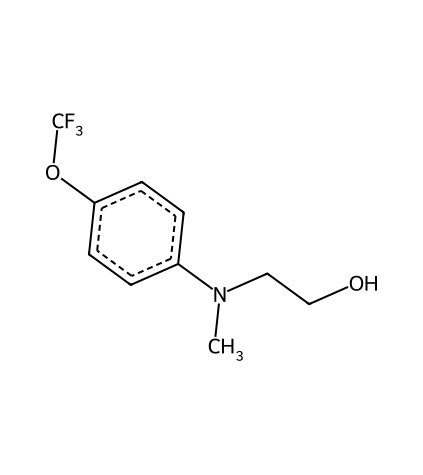 CN(CCO)c1ccc(OC(F)(F)F)cc1